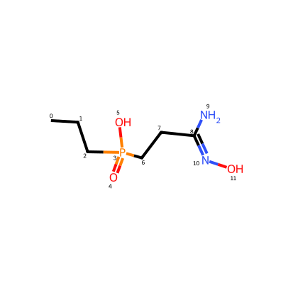 CCCP(=O)(O)CCC(N)=NO